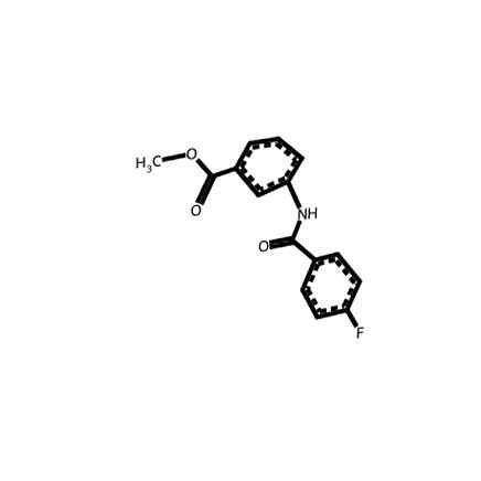 COC(=O)c1cccc(NC(=O)c2ccc(F)cc2)c1